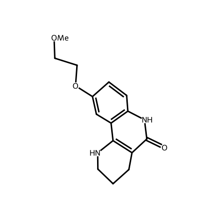 COCCOc1ccc2[nH]c(=O)c3c(c2c1)NCCC3